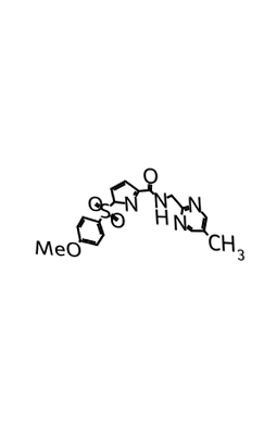 COc1ccc(S(=O)(=O)C2C=CC(C(=O)NCc3ncc(C)cn3)=N2)cc1